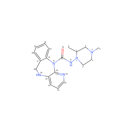 CC1CN(C)CCN1NC(=O)N1c2ccccc2CNc2cccnc21